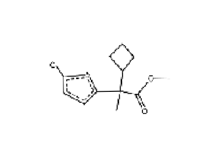 COC(=O)C(C)(c1ccc(Cl)s1)C1CCC1